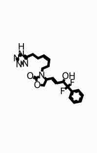 O=C1OCC(/C=C/C(O)C(F)(F)c2ccccc2)N1CC/C=C\CCc1nnn[nH]1